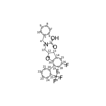 O=C(O)N(Cc1ccccc1)CC1Cc2cc(F)cc(-c3ccccc3C(F)(F)F)c2O1